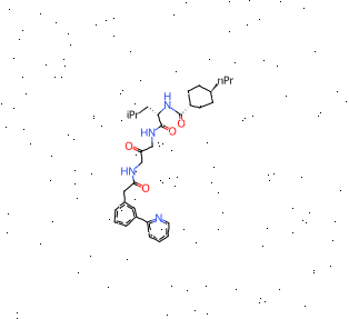 CCC[C@H]1CC[C@H](C(=O)N[C@@H](CC(C)C)C(=O)NCC(=O)CNC(=O)Cc2cccc(-c3ccccn3)c2)CC1